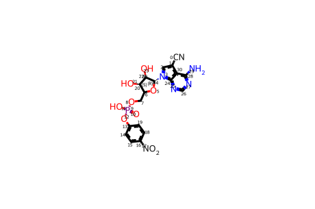 N#Cc1cn([C@@H]2OC(COP(=O)(O)Oc3ccc([N+](=O)[O-])cc3)[C@@H](O)[C@H]2O)c2ncnc(N)c12